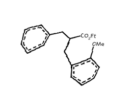 CCOC(=O)C(Cc1ccccc1)Cc1ccccc1OC